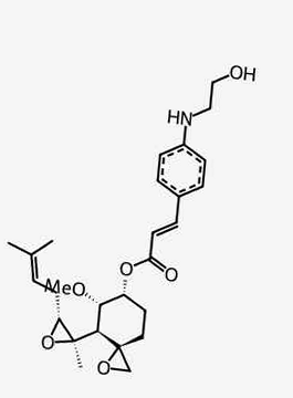 CO[C@@H]1[C@H](OC(=O)/C=C/c2ccc(NCCO)cc2)CC[C@]2(CO2)[C@H]1[C@@]1(C)O[C@@H]1CC=C(C)C